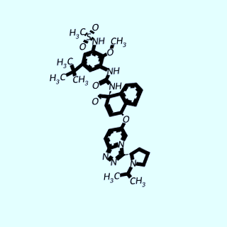 COc1c(NC(=O)N[C@@]2(C=O)C=C[C@@H](Oc3ccc4nnc([C@@H]5CCCN5C(C)C)n4c3)c3ccccc32)cc(C(C)(C)C)cc1NS(C)(=O)=O